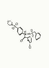 O=C(Nc1ccc(S(=O)(=O)N2CCOCC2)cc1)c1cc(Cl)ccc1NS(=O)(=O)Cc1ccccc1